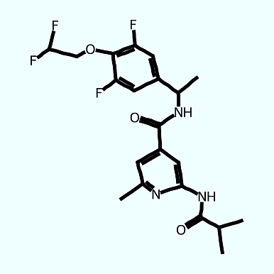 Cc1cc(C(=O)NC(C)c2cc(F)c(OCC(F)F)c(F)c2)cc(NC(=O)C(C)C)n1